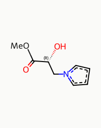 COC(=O)[C@H](O)Cn1cccc1